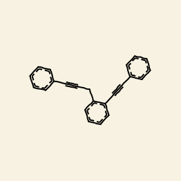 C(#Cc1ccccc1)Cc1ccccc1C#Cc1ccccc1